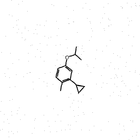 Cc1ccc(OC(C)C)cc1C1CC1